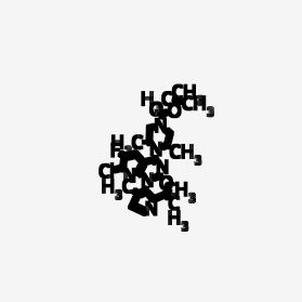 Cc1ccnc(C(C)C)c1-n1c(=O)nc(N2[C@H](C)CN(C(=O)OC(C)(C)C)C[C@@H]2C)c2cc(F)c(Cl)nc21